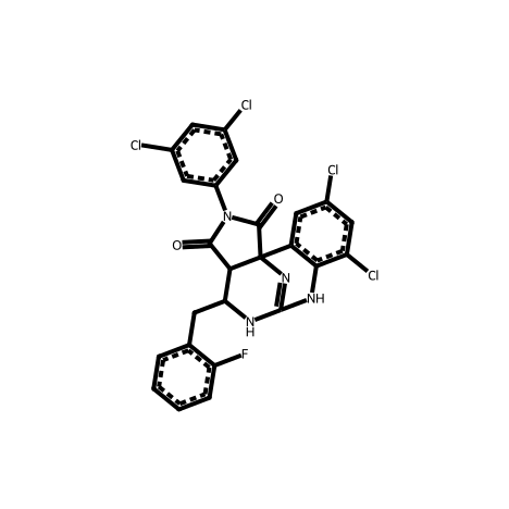 O=C1C2C(Cc3ccccc3F)NC3=NC2(C(=O)N1c1cc(Cl)cc(Cl)c1)c1cc(Cl)cc(Cl)c1N3